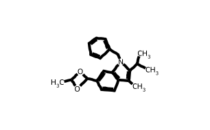 Cc1c(C(C)C)n(Cc2ccccc2)c2cc(C3OC(C)O3)ccc12